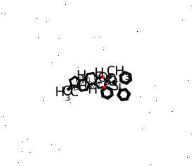 CC(=O)OC[C@]12CC[C@H](O[Si](c3ccccc3)(c3ccccc3)c3ccccc3)C[C@@H]1CC[C@@H]1[C@@H]2CC[C@]2(C)C(=O)CC[C@@H]12